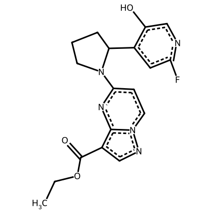 CCOC(=O)c1cnn2ccc(N3CCCC3c3cc(F)ncc3O)nc12